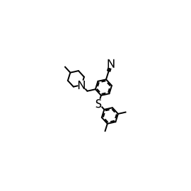 Cc1cc(C)cc(Sc2ccc(C#N)cc2CN2CCC(C)CC2)c1